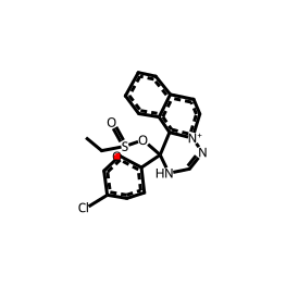 CCS(=O)(=O)OC1(c2ccc(Cl)cc2)NC=N[n+]2ccc3ccccc3c21